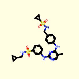 Cc1cnc(Nc2cccc(S(=O)(=O)NCC3CC3)c2)nc1Nc1ccc(CNS(=O)(=O)C2CC2)cc1